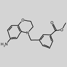 COC(=O)c1cccc(CN2CCOc3ccc(N)cc32)c1